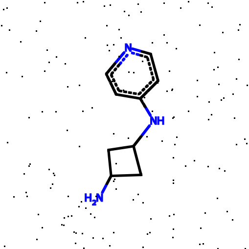 NC1CC(Nc2ccncc2)C1